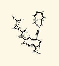 CNc1ncc(C#Cc2cc3ccccn3n2)c2cc(NC(=O)[C@H]3C[C@H]3C(F)F)ncc12